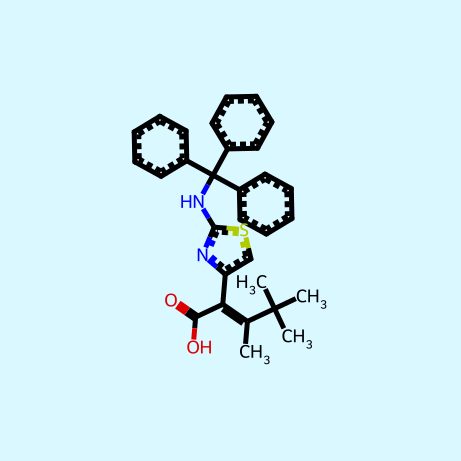 CC(=C(C(=O)O)c1csc(NC(c2ccccc2)(c2ccccc2)c2ccccc2)n1)C(C)(C)C